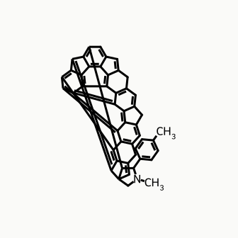 Cc1ccc(C2C3c4cc5cc6c7c5c5c4c4c8c9c%10c%11c(cc%12c%13c%14c(cc(c%15c%14c%14c(c%13%11)c%10c4c5c%14c7%15)C6)C%12)CC9=CC83CN2C)cc1